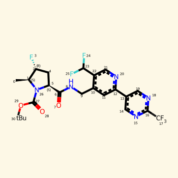 C[C@H]1[C@H](F)C[C@@H](C(=O)NCc2cc(-c3cnc(C(F)(F)F)nc3)ncc2C(F)F)N1C(=O)OC(C)(C)C